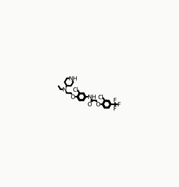 CCN(CCOc1ccc(NC(=O)COc2ccc(C(F)(F)F)cc2Cl)cc1Cl)C1CCNCC1